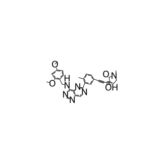 COc1ccc(CNc2ncnc3cnc(-c4cc(C#C[C@]5(O)CCN(C)C5=O)ccc4C)nc23)c(OC)c1